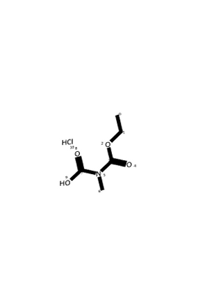 CCOC(=O)N(C)C(=O)O.Cl